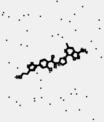 Cc1cc2c(N)noc2c(N2CC[C@@H](NC(=O)c3ccc(-n4cc(CCO)nn4)cc3Cl)C2)n1